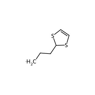 [CH2]CCC1SC=CS1